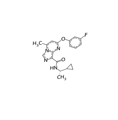 Cc1cc(Oc2cccc(F)c2)nc2c(C(=O)N[C@@H](C)C3CC3)ncn12